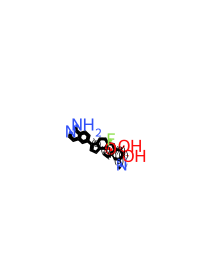 CN(C)[C@H]1C[C@@]23CC[C@]4(O2)C2CC=C(c5ccc6c(N)nccc6c5)[C@@]2(C)CCC4(F)C=C3[C@@H](O)[C@@H]1O